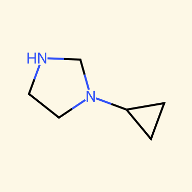 C1CN(C2CC2)CN1